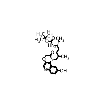 CC[C@H](CCC(C)CN1C(=O)COc2cnc3ccc(O)cc3c21)NC(=O)OC(C)(C)C